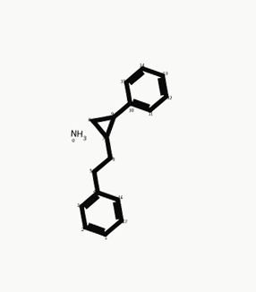 N.c1ccc(CCC2CC2c2ccccc2)cc1